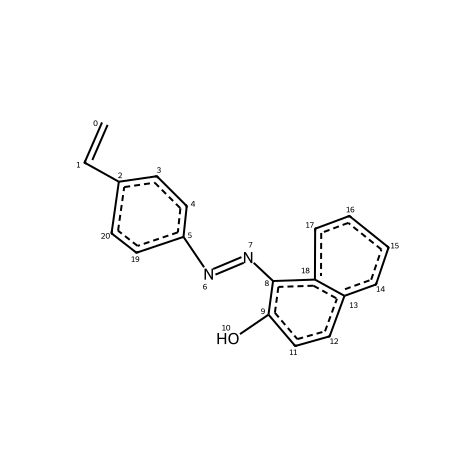 C=Cc1ccc(N=Nc2c(O)ccc3ccccc23)cc1